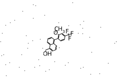 COc1cc(C(F)(F)F)ccc1-c1cccc2c(CO)cccc12